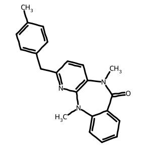 Cc1ccc(Cc2ccc3c(n2)N(C)c2ccccc2C(=O)N3C)cc1